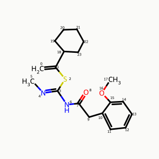 C=C(S/C(=N\C)NC(=O)Cc1ccccc1OC)C1CCCCC1